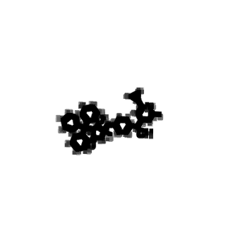 Cc1cc(C(O)c2ccc([C@@H](C)[C@]3(C)CC(=O)N(C(c4ccccc4)(c4ccccc4)c4ccccc4)C3=O)cc2)cc(C2CC2)n1